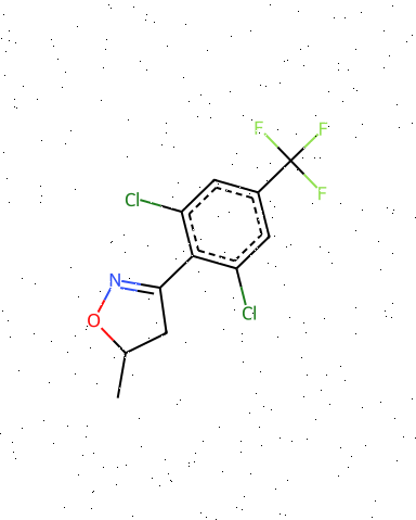 CC1CC(c2c(Cl)cc(C(F)(F)F)cc2Cl)=NO1